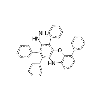 NNc1c(-c2ccccc2)c2c(c(-c3ccccc3)c1-c1ccccc1)Nc1cccc(-c3ccccc3)c1O2